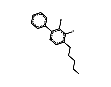 CCCCCc1ccc(-c2ccccc2)c(F)c1F